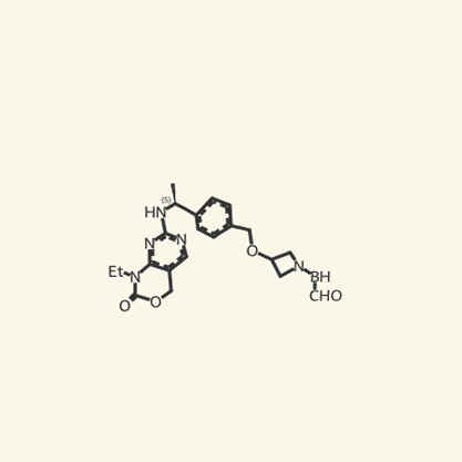 CCN1C(=O)OCc2cnc(N[C@@H](C)c3ccc(COC4CN(BC=O)C4)cc3)nc21